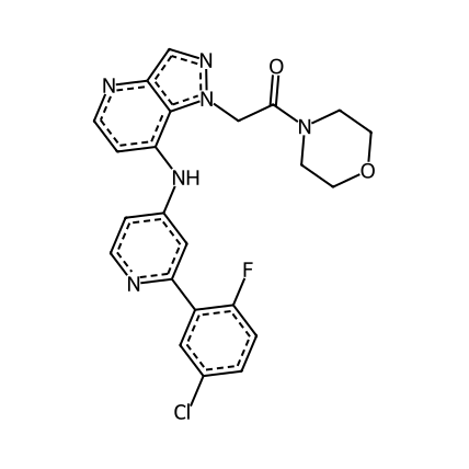 O=C(Cn1ncc2nccc(Nc3ccnc(-c4cc(Cl)ccc4F)c3)c21)N1CCOCC1